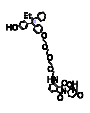 CC/C(=C(\c1ccc(O)cc1)c1ccc(OCCOCCOCCOCCNc2cccc3c2C(=O)N(C2CCC(=O)NC2=O)C3=O)cc1)c1ccccc1